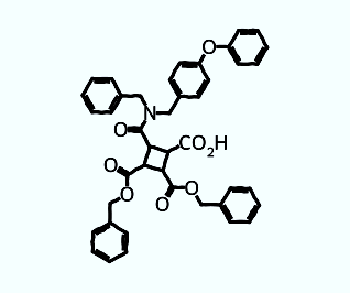 O=C(O)C1C(C(=O)OCc2ccccc2)C(C(=O)OCc2ccccc2)C1C(=O)N(Cc1ccccc1)Cc1ccc(Oc2ccccc2)cc1